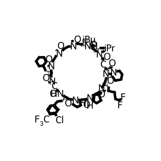 CC[C@H](C)[C@@H]1NC(=O)[C@H](CC(C)C)N(C)C(=O)C[C@@H](C(=O)N2CCCCC2)N(C)C(=O)[C@H](CCCCC(F)F)N(C)C(=O)C2(CCCC2)NC(=O)[C@@H]2CCCN2C(=O)[C@H](CCc2ccc(C(F)(F)F)c(Cl)c2)NC(=O)CN(C)C(=O)[C@H](CC2CCCCC2)N(C)C(=O)CN(C)C(=O)CN(C)C1=O